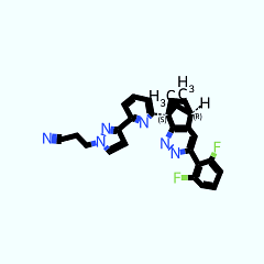 CC1(C)[C@H]2CC[C@]1(c1cccc(-c3ccn(CCC#N)n3)n1)c1nnc(-c3c(F)cccc3F)cc12